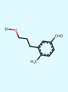 CCOCCCc1cc(C=O)ccc1C